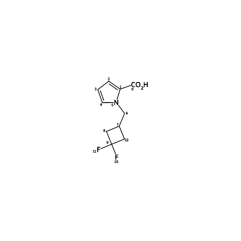 O=C(O)c1cccn1CC1CC(F)(F)C1